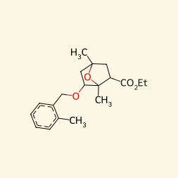 CCOC(=O)C1CC2(C)CC(OCc3ccccc3C)C1(C)O2